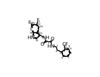 O=C(NCCc1ccccc1C(F)(F)F)C(=O)Nc1c[nH]c2cc(F)c(F)cc12